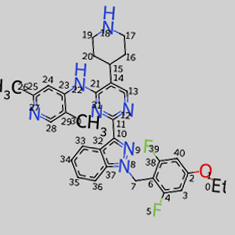 CCOc1cc(F)c(Cn2nc(-c3ncc(C4CCNCC4)c(Nc4cc(C)ncc4C)n3)c3ccccc32)c(F)c1